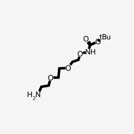 CC(C)(C)OC(=O)NOCCOCCOCCN